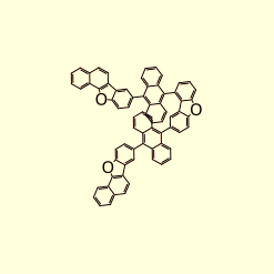 c1ccc2c(c1)ccc1c3cc(-c4c5ccccc5c(-c5ccc6oc7cccc(-c8c9ccccc9c(-c9ccc%10oc%11c%12ccccc%12ccc%11c%10c9)c9ccccc89)c7c6c5)c5ccccc45)ccc3oc21